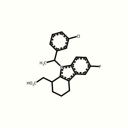 CC(c1cccc(Cl)c1)n1c2c(c3cc(F)ccc31)CCCC2CC(=O)O